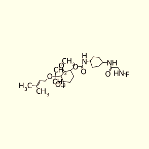 COC1C(OC(=O)NC2CCC(NC(=O)CNF)CC2)CCC2(CO2)C1C(C)(C)OCC=C(C)C